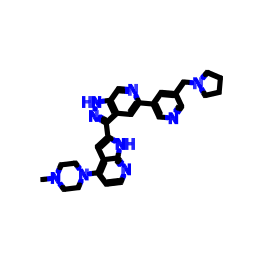 CN1CCN(c2ccnc3[nH]c(-c4n[nH]c5cnc(-c6cncc(CN7CCCC7)c6)cc45)cc23)CC1